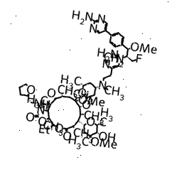 C=N/C(=C\N(N)[C@H](CF)[C@H](OC)c1ccc(-c2cnc(N)nc2)cc1)CCN(C)[C@@H]1C[C@H](O[C@@H]2[C@@H](C)C([C@H]3C[C@@](C)(OC)[C@@H](O)[C@H](C)O3)[C@@H](C)C(=O)O[C@H](CC)[C@@]3(C)OC(=O)N(NC[C@@H]4CCCO4)[C@@H]3[C@@H](C)C(=O)[C@H](C)C[C@@]2(C)OC)O[C@H](C)C1